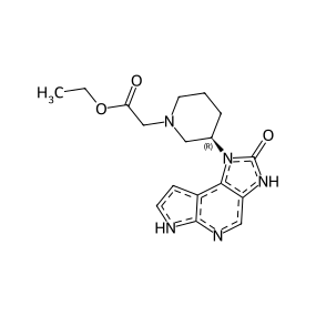 CCOC(=O)CN1CCC[C@@H](n2c(=O)[nH]c3cnc4[nH]ccc4c32)C1